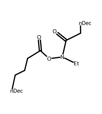 CCCCCCCCCCCCCC(=O)ON(CC)C(=O)CCCCCCCCCCC